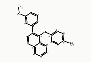 COc1cccc(-c2ccc3ccccc3c2Oc2ccc(N)cc2)c1